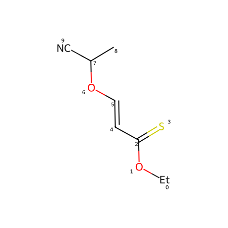 CCOC(=S)C=COC(C)C#N